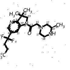 CCCC(F)(F)c1cnc2c(c1)N(C(=O)CN1CCN[C@H](C)C1)CC2(C)C